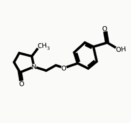 CC1CCC(=O)N1CCOc1ccc(C(=O)O)cc1